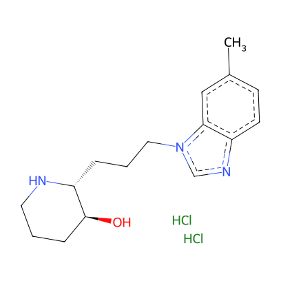 Cc1ccc2ncn(CCC[C@H]3NCCC[C@@H]3O)c2c1.Cl.Cl